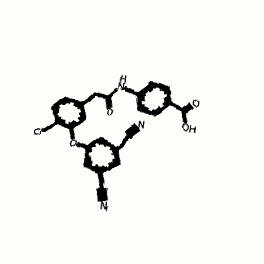 N#Cc1cc(C#N)cc(Oc2cc(CC(=O)Nc3ccc(C(=O)O)cc3)ccc2Cl)c1